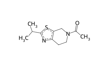 CC(=O)N1CCc2nc(C(C)C)sc2C1